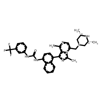 Cc1nc(-c2ccc(NC(=O)Nc3cccc(C(F)(F)F)c3)c3ccccc23)c2c(N)ncc(CN3C[C@@H](C)N[C@@H](C)C3)n12